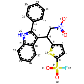 O=[N+]([O-])CC(c1ccc(S(=O)(=O)F)s1)c1c(-c2ccccc2)[nH]c2ccccc12